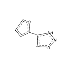 [c]1nn[nH]c1-c1ccco1